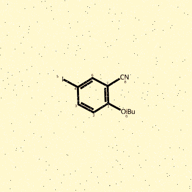 CC(C)COc1ccc(I)cc1C#N